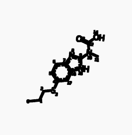 CCCSc1ccc2nc(N(C)C(=O)O)[nH]c2c1